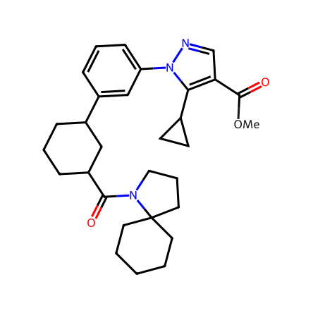 COC(=O)c1cnn(-c2cccc(C3CCCC(C(=O)N4CCCC45CCCCC5)C3)c2)c1C1CC1